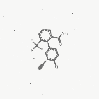 C#Cc1cc(-c2c(C(N)=O)cccc2C(F)(F)F)ccc1Cl